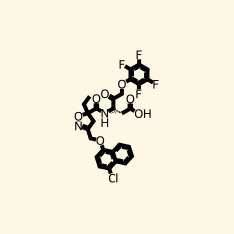 CCC1(C(=O)N[C@@H](CC(=O)O)C(=O)COc2c(F)c(F)cc(F)c2F)CC(COc2ccc(Cl)c3ccccc23)=NO1